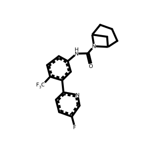 O=C(Nc1ccc(C(F)(F)F)c(-c2ccc(F)cn2)c1)N1C2CCCC1C2